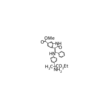 CCOC(=O)C(C)(N)c1ccc(N/C(=C2/C(=O)Nc3cc(C(=O)OC)ccc32)c2ccccc2)cc1